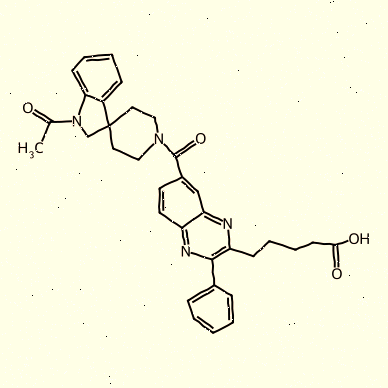 CC(=O)N1CC2(CCN(C(=O)c3ccc4nc(-c5ccccc5)c(CCCCC(=O)O)nc4c3)CC2)c2ccccc21